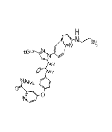 CNC(=O)c1cc(Oc2ccc(NC(=O)Nc3cc(C(C)(C)C)nn3-c3ccc4nc(NCCN)ccc4c3)cc2)ccn1